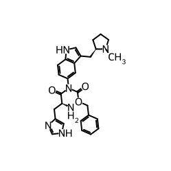 CN1CCC[C@@H]1Cc1c[nH]c2ccc(N(C(=O)OCc3ccccc3)C(=O)[C@@H](N)Cc3c[nH]cn3)cc12